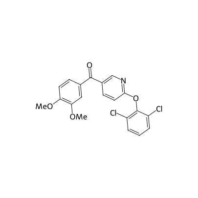 COc1ccc(C(=O)c2ccc(Oc3c(Cl)cccc3Cl)nc2)cc1OC